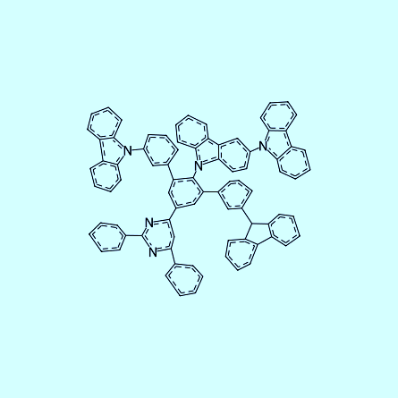 c1ccc(-c2cc(-c3cc(-c4cccc(C5c6ccccc6-c6ccccc65)c4)c(-n4c5ccccc5c5cc(-n6c7ccccc7c7ccccc76)ccc54)c(-c4cccc(-n5c6ccccc6c6ccccc65)c4)c3)nc(-c3ccccc3)n2)cc1